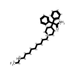 NC(=O)C(c1ccccc1)(c1ccccc1)C1CCN(CCCCCCCCCNCC(F)(F)F)CC1